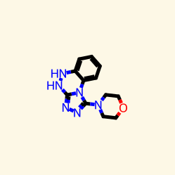 c1ccc2c(c1)NNc1nnc(N3CCOCC3)n1-2